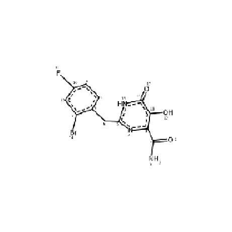 NC(=O)c1nc(Cc2ccc(F)cc2Br)[nH]c(=O)c1O